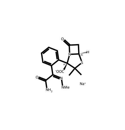 CNN=C(C(N)=O)c1ccccc1[C@]1(C(=O)[O-])N2C(=O)C[C@H]2SC1(C)C.[Na+]